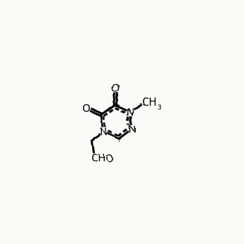 Cn1n[c]n(CC=O)c(=O)c1=O